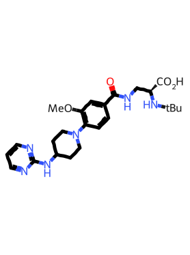 COc1cc(C(=O)NC[C@H](NC(C)(C)C)C(=O)O)ccc1N1CCC(Nc2ncccn2)CC1